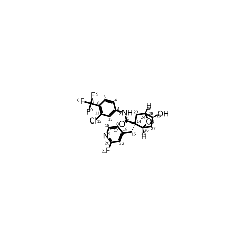 O=C(Nc1ccc(C(F)(F)F)c(Cl)c1)[C@@]1(Cc2ccnc(F)c2)C[C@H]2O[C@@H]1C[C@@H]2O